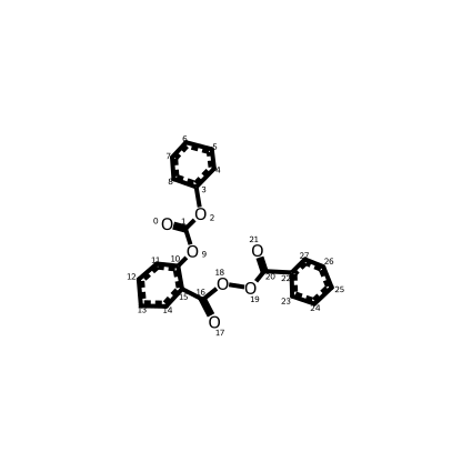 O=C(Oc1ccccc1)Oc1ccccc1C(=O)OOC(=O)c1ccccc1